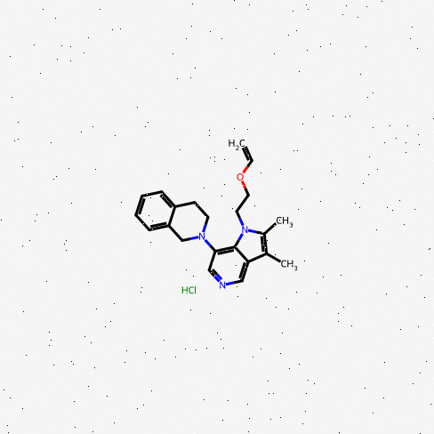 C=COCCn1c(C)c(C)c2cncc(N3CCc4ccccc4C3)c21.Cl